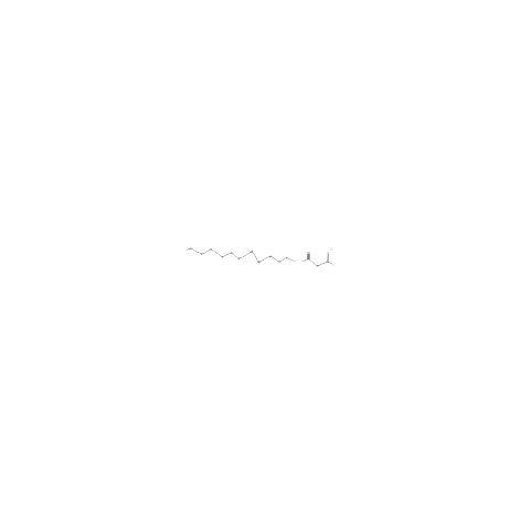 CCCCCCCCCCCCOC(=O)CC(C)Br